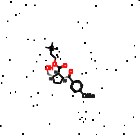 COc1ccc(C(=O)[C@@H]2CC[C@H](CO)[C@H]2C(=O)OCC[Si](C)(C)C)cc1